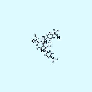 C=CC(=O)N1CCc2nn(-c3ccc(C4CC4)cc3)c3c2[C@H](C1)N(C(=O)c1ccc(C2(C#N)CC2)nc1)CC3